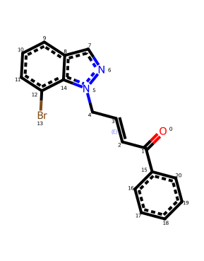 O=C(/C=C/Cn1ncc2cccc(Br)c21)c1ccccc1